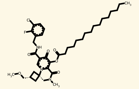 CCCCCCCCCCCCCCCC(=O)Oc1c2n(cc(C(=O)NCc3cccc(Cl)c3F)c1=O)[C@]1(CN(C)C2=O)C[C@@H](COC)C1